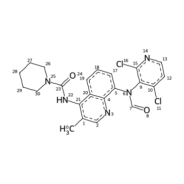 Cc1cnc2c(N(C=O)c3c(Cl)ccnc3Cl)cccc2c1NC(=O)N1CCCCC1